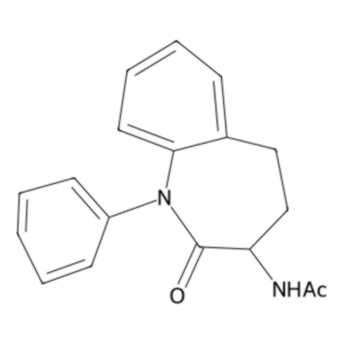 CC(=O)NC1CCc2ccccc2N(c2ccccc2)C1=O